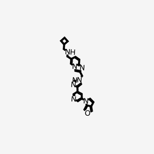 c1cc2nc(Cn3cc(-c4cncc(-n5ccc6cocc65)c4)nn3)cn2cc1CNCC1CCC1